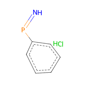 Cl.N=Pc1ccccc1